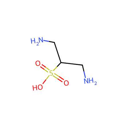 NCC(CN)S(=O)(=O)O